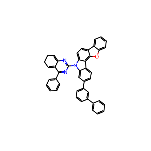 C1=c2nc(-n3c4cc(-c5cccc(-c6ccccc6)c5)ccc4c4c5oc6ccccc6c5ccc43)nc(-c3ccccc3)c2=CCC1